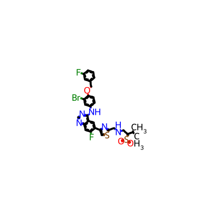 CC(C)C(CNCc1nc(-c2cc3c(Nc4ccc(OCc5cccc(F)c5)c(Br)c4)ncnc3cc2F)cs1)=S(=O)=O